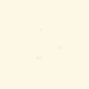 CCSc1ccc(CN)cc1CN.Cl